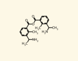 Cc1c(C(=O)OC(=O)c2cccc(C(C)N)c2C)cccc1C(C)N